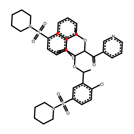 CC(OC(C(=O)c1cccnc1)C(OC(C)c1cc(S(=O)(=O)N2CCCCC2)ccc1Cl)C(=O)c1ccccn1)c1cc(S(=O)(=O)N2CCCCC2)ccc1Cl